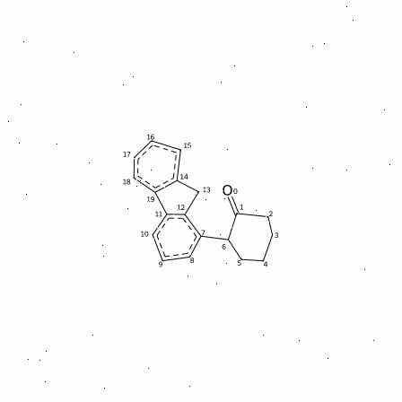 O=C1CCCCC1c1cccc2c1Cc1ccccc1-2